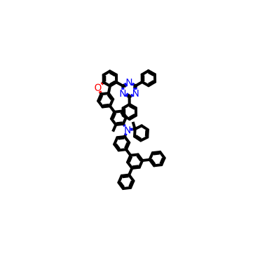 Cc1cc(-c2ccc3oc4cccc(-c5nc(-c6ccccc6)nc(-c6ccccc6)n5)c4c3c2)ccc1N(c1cccc(-c2cc(-c3ccccc3)cc(-c3ccccc3)c2)c1)C1(C)C=CC=CC1